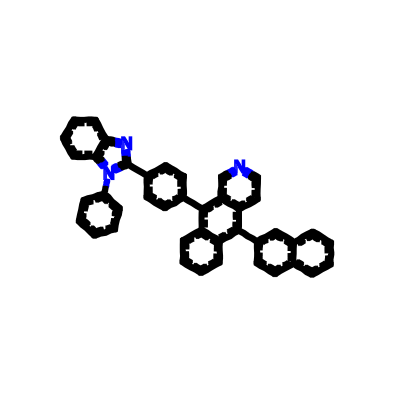 c1ccc(-n2c(-c3ccc(-c4c5ccccc5c(-c5ccc6ccccc6c5)c5ccncc45)cc3)nc3ccccc32)cc1